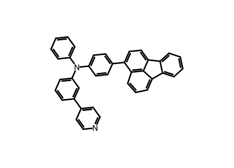 c1ccc(N(c2ccc(-c3ccc4c5c(cccc35)-c3ccccc3-4)cc2)c2cccc(-c3ccncc3)c2)cc1